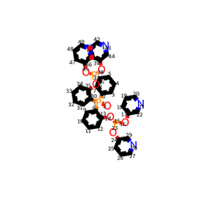 O=P(c1ccccc1)(c1ccccc1OP(Oc1cccnc1)Oc1cccnc1)c1ccccc1OP(Oc1cccnc1)Oc1cccnc1